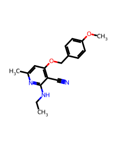 CCNc1nc(C)cc(OCc2ccc(OC)cc2)c1C#N